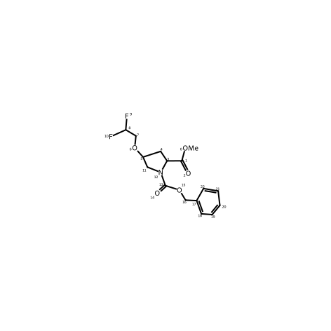 COC(=O)C1CC(OCC(F)F)CN1C(=O)OCc1ccccc1